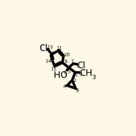 CC(C1CC1)C(O)(CCl)c1ccc(Cl)cc1